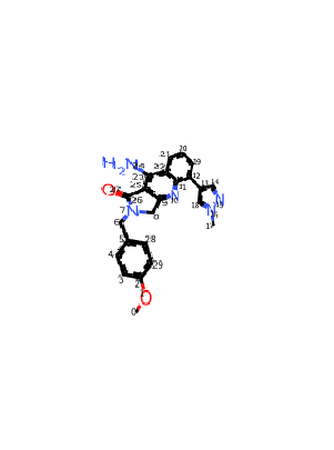 COc1ccc(CN2Cc3nc4c(-c5cnn(C)c5)cccc4c(N)c3C2=O)cc1